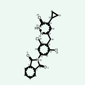 O=C1c2ccccc2C(=O)N1c1cc(Cl)c(Cc2cc(C3CC3)c(=O)[nH]n2)c(Cl)c1